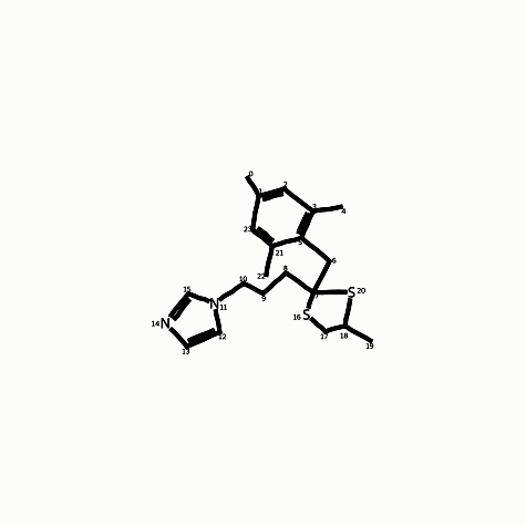 Cc1cc(C)c(CC2(CCCn3ccnc3)SCC(C)S2)c(C)c1